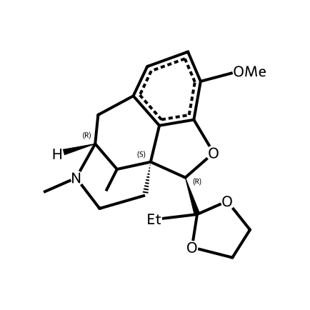 CCC1([C@@H]2Oc3c(OC)ccc4c3[C@@]23CCN(C)[C@H](C4)C3C)OCCO1